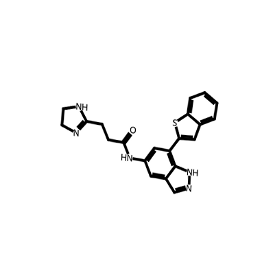 O=C(CCC1=NCCN1)Nc1cc(-c2cc3ccccc3s2)c2[nH]ncc2c1